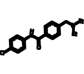 CCN(CC)Cc1ccc(C(=O)Nc2ccc(Cl)cc2)cc1